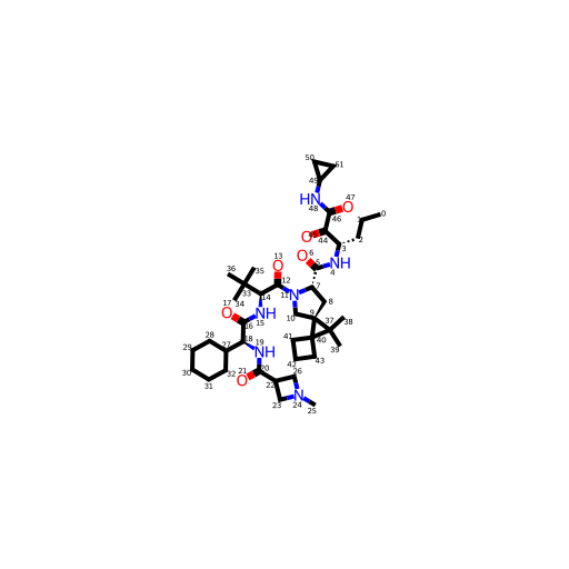 CCC[C@H](NC(=O)[C@@H]1C[C@@]2(CN1C(=O)[C@@H](NC(=O)[C@@H](NC(=O)C1CN(C)C1)C1CCCCC1)C(C)(C)C)C(C)(C)C21CCC1)C(=O)C(=O)NC1CC1